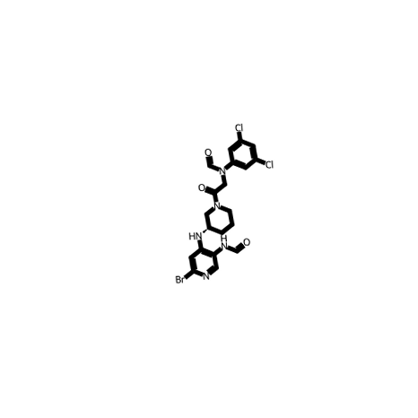 O=CNc1cnc(Br)cc1N[C@H]1CCCN(C(=O)CN(C=O)c2cc(Cl)cc(Cl)c2)C1